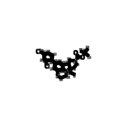 CCC12CCN(C(=O)OC(C)(C)C)CC1c1cc(-c3ccc(Cl)cc3Cl)cc3c1N2CCS3